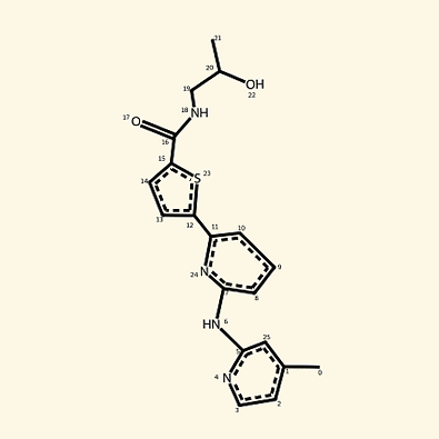 Cc1ccnc(Nc2cccc(-c3ccc(C(=O)NCC(C)O)s3)n2)c1